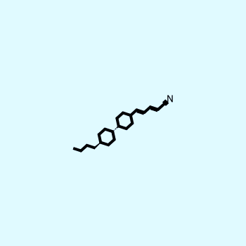 CCCC[C@H]1CC[C@H](C2CCC(C=CC=CC#N)CC2)CC1